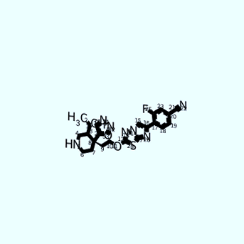 CC(C)C1CNCC[C@@]1(CCOc1nn2cc(-c3ccc(C#N)cc3F)nc2s1)c1cnno1